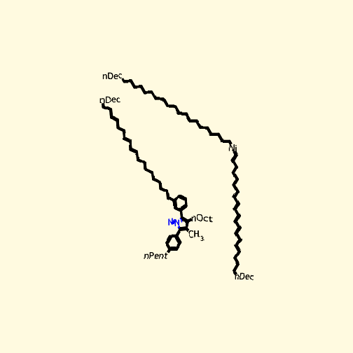 CCCCCCCCCCCCCCCCCCCCCCCCCCCCC[CH2][Ni][CH2]CCCCCCCCCCCCCCCCCCCCCCCCCCCCC.CCCCCCCCCCCCCCCCCCCCCCCCCCCCCc1cccc(C2=C(CCCCCCCC)C(C)=C(c3ccc(CCCCC)cc3)[N+]2=[N-])c1